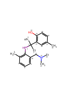 CCCC(CC)(Pc1c(C)cccc1CN(C)CC)c1cc(C)ccc1O